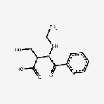 CCNN(C(=O)c1ccccn1)C(CO)C(=O)O